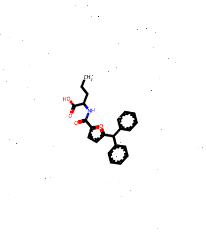 CCCC(NC(=O)c1ccc(C(c2ccccc2)c2ccccc2)o1)C(=O)O